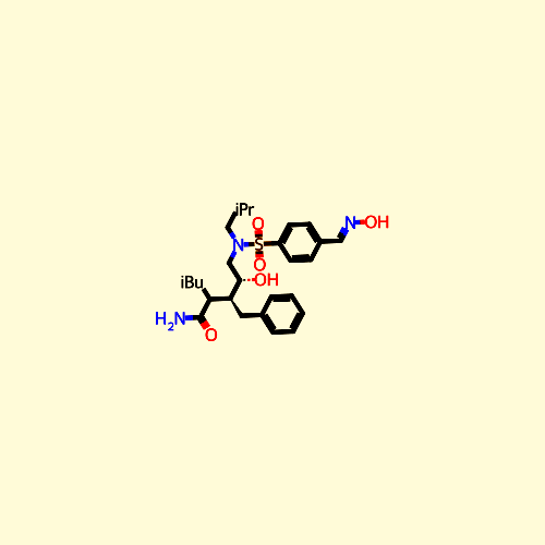 CCC(C)C(C(N)=O)[C@H](Cc1ccccc1)[C@@H](O)CN(CC(C)C)S(=O)(=O)c1ccc(/C=N/O)cc1